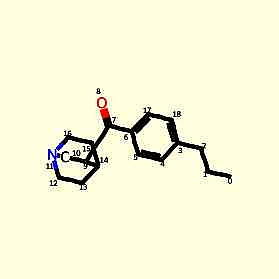 CCCc1ccc(C(=O)C2CN3CCC2CC3)cc1